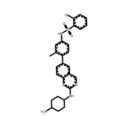 Cc1cc(NS(=O)(=O)c2ccccc2Cl)ccc1-c1ccc2nc(NC3CCC(N)CC3)ncc2c1